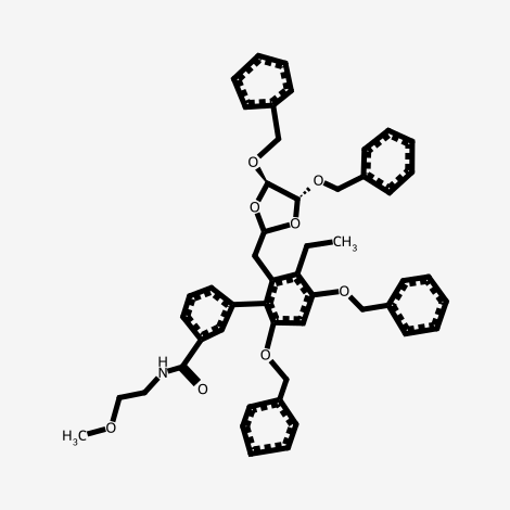 CCc1c(OCc2ccccc2)cc(OCc2ccccc2)c(-c2cccc(C(=O)NCCOC)c2)c1CC1O[C@@H](OCc2ccccc2)[C@H](OCc2ccccc2)O1